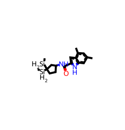 C[SiH2]C1([SiH2]C)CCC(NC(=O)c2cc3c(C)cc(C)cc3[nH]2)C1